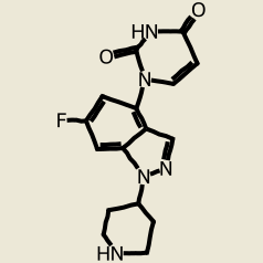 O=c1ccn(-c2cc(F)cc3c2cnn3C2CCNCC2)c(=O)[nH]1